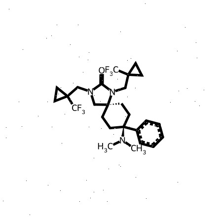 CN(C)[C@]1(c2ccccc2)CC[C@]2(CC1)CN(CC1(C(F)(F)F)CC1)C(=O)N2CC1(C(F)(F)F)CC1